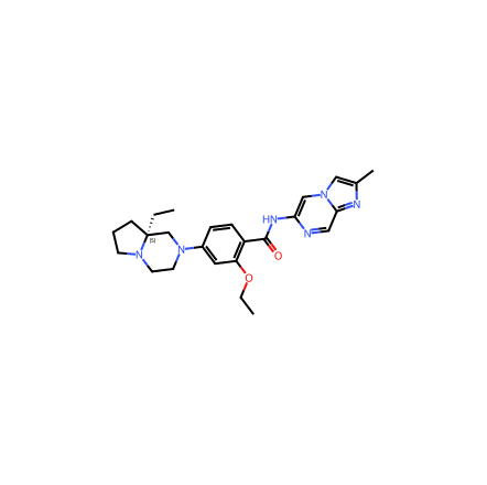 CCOc1cc(N2CCN3CCC[C@@]3(CC)C2)ccc1C(=O)Nc1cn2cc(C)nc2cn1